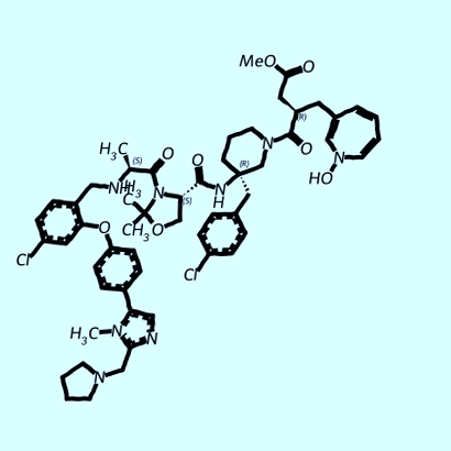 COC(=O)C[C@@H](CC1=CN(O)C=CC=C1)C(=O)N1CCC[C@](Cc2ccc(Cl)cc2)(NC(=O)[C@@H]2COC(C)(C)N2C(=O)[C@H](C)NCc2ccc(Cl)cc2Oc2ccc(-c3cnc(CN4CCCC4)n3C)cc2)C1